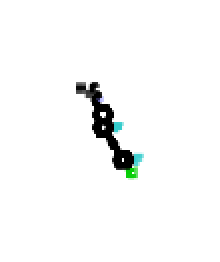 C/C=C/C1CCc2c(ccc(C#Cc3ccc(Cl)c(F)c3)c2F)C1